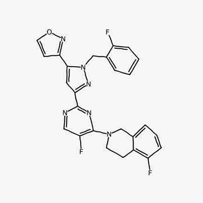 Fc1ccccc1Cn1nc(-c2ncc(F)c(N3CCc4c(F)cccc4C3)n2)cc1-c1ccon1